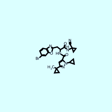 CC1(c2cc(C(=O)NC(Cc3nc4ccc(Br)cc4o3)C(=O)NC3(C#N)CC3)n(C3CC3)n2)CC1